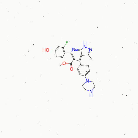 COC(=O)c1c(-c2ccc(O)cc2F)nc2[nH]nc(C)c2c1-c1ccc(N2CCNCC2)cc1